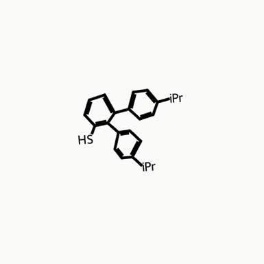 CC(C)c1ccc(-c2cccc(S)c2-c2ccc(C(C)C)cc2)cc1